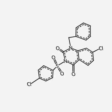 O=c1c2ccc(Cl)cc2n(Cc2ccccc2)c(=O)n1S(=O)(=O)c1ccc(Cl)cc1